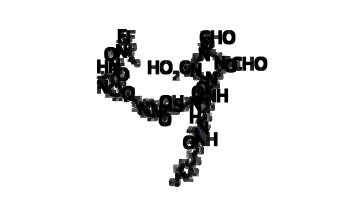 C#C[C@H]1CC(F)(F)CN1C(=O)CNC(=O)c1ccnc2ccc(OCCCN3CCN(C(=O)[C@H](O)CSCCNC(=O)[C@H](CCCC/N=C(\C)NC(=O)CCCc4ccc(I)cc4)NC(=O)CN4CCN(COC=O)CCN(COC=O)CCN(CC(=O)O)CC4)CC3)cc12